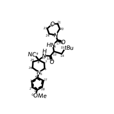 COc1ccc(N2CCC(C#N)(NC(=O)C(CC(C)(C)C)NC(=O)N3CCOCC3)CC2)cc1